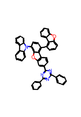 c1ccc(-c2nc(-c3ccccc3)nc(-c3ccc4c(c3)oc3c(-n5c6ccccc6c6ccccc65)ccc(-c5cccc6oc7ccccc7c56)c34)n2)cc1